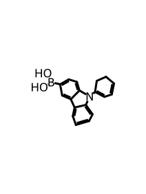 OB(O)c1ccc2c(c1)c1ccccc1n2C1=CC=CCC1